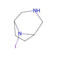 IN1C2CCC1CNC2